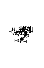 CC(=O)/C=C/C1=C(C)C(O)C(O[C@@H]2OC(COC(=O)/C=C/c3ccc(O)c(O)c3)[C@@H](O)[C@H](O)C2O)CC1(C)C